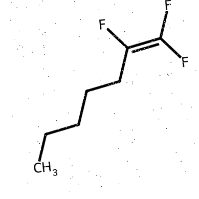 CCCCCC(F)=C(F)F